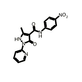 Cc1[nH]n(-c2ccccn2)c(=O)c1C(=O)Nc1ccc([N+](=O)[O-])cc1